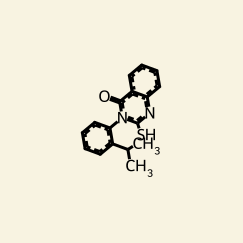 CC(C)c1ccccc1-n1c(S)nc2ccccc2c1=O